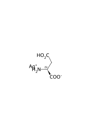 N[C@@H](CC(=O)O)C(=O)[O-].[Ag+]